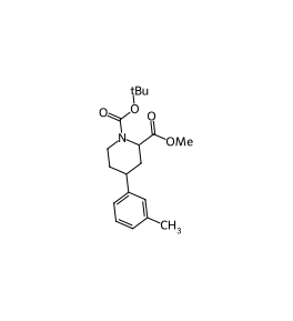 COC(=O)C1CC(c2cccc(C)c2)CCN1C(=O)OC(C)(C)C